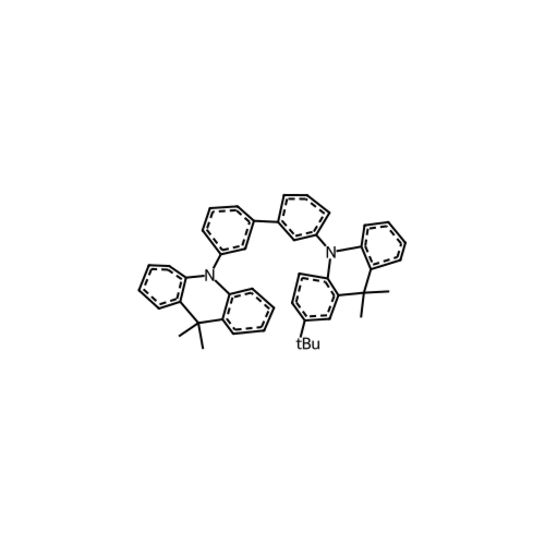 CC(C)(C)c1ccc2c(c1)C(C)(C)c1ccccc1N2c1cccc(-c2cccc(N3c4ccccc4C(C)(C)c4ccccc43)c2)c1